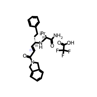 CC(C)[C@H](N[C@H](/C=C/C(=O)N1Cc2ccccc2C1)CCc1ccccc1)C(N)=O.O=C(O)C(F)(F)F